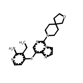 CCc1c(Sc2cnc(N3CCC4(CCOC4)CC3)n3ccnc23)ccnc1N